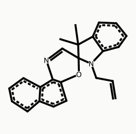 C=CCN1c2ccccc2C(C)(C)C12C=Nc1c(ccc3ccccc13)O2